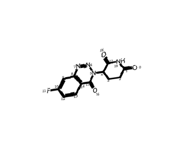 O=C1CCC(n2nnc3cc(F)ccc3c2=O)C(=O)N1